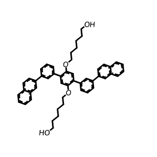 OCCCCCCOc1cc(-c2cccc(-c3ccc4ccccc4c3)c2)c(OCCCCCCO)cc1-c1cccc(-c2ccc3ccccc3c2)c1